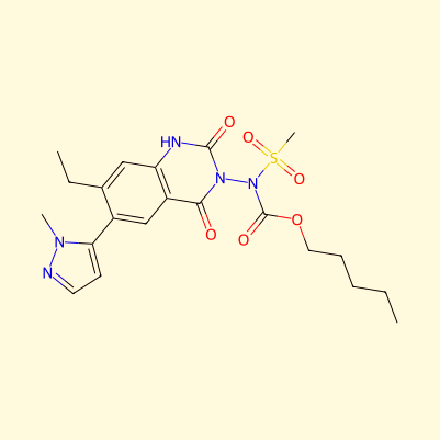 CCCCCOC(=O)N(n1c(=O)[nH]c2cc(CC)c(-c3ccnn3C)cc2c1=O)S(C)(=O)=O